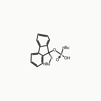 CCCCSC1(OP(=O)(O)CCCC)c2ccccc2-c2ccccc21